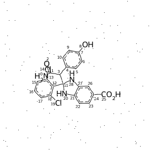 NC(=O)C(c1ccc(O)cc1)C1(c2c(Cl)cccc2Cl)Nc2ccc(C(=O)O)cc2N1